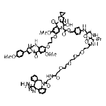 COc1ccc(C2=CN3C(=O)c4cc(OC)c(OCCCOc5cc6c(cc5OC)C(=O)N5CC7(CC7)C[C@H]5C(O)N6C(=O)OCc5ccc(NC(=O)[C@H](C)NC(=O)[C@@H](NC(=O)CCOCCOCCOCCOCCC(=O)NCCC(=O)N6Cc7ccccc7-c7c(nnn7N)-c7ccccc76)C(C)C)cc5)cc4NC[C@@H]3C2)cc1